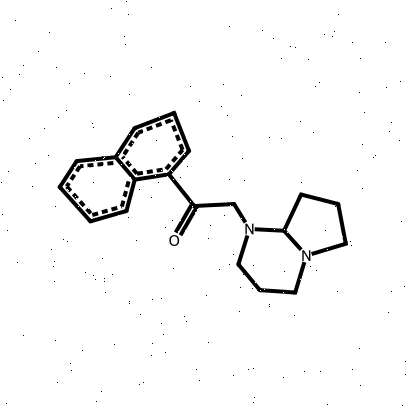 O=C(CN1CCCN2CCCC21)c1cccc2ccccc12